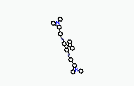 C(=C\c1ccc2c(c1)C1(c3ccccc3-c3ccccc31)c1cc(/C=C/c3ccc(-c4ccc5c(c4)c4ccccc4n5-c4ccccc4)cc3)ccc1-2)/c1ccc(-c2ccc3c(c2)c2ccccc2n3-c2ccccc2)cc1